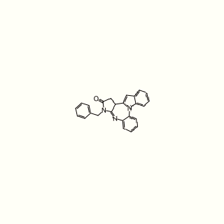 O=C1CC2C(=Nc3ccccc3-n3c2cc2ccccc23)N1Cc1ccccc1